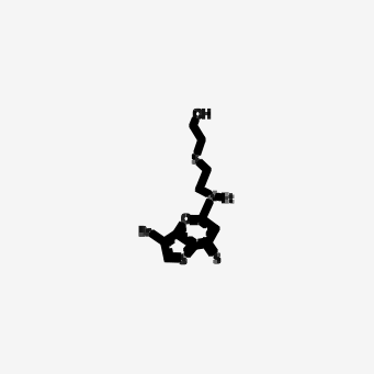 CCN(CCSCCO)c1cc(=S)c2scc(Br)c2o1